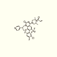 C=CC(=O)N1C(C)CN(c2nc(=O)n3c4c(c(-c5cc(Cl)c(F)cc5F)c(C(F)(F)F)cc24)SCC(c2ccncc2)C3)CC1C